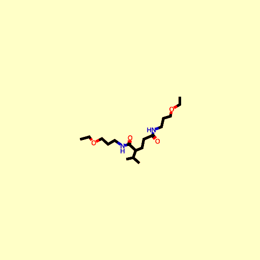 CCOCCCNC(=O)CCC(C(=O)NCCCOCC)C(C)C